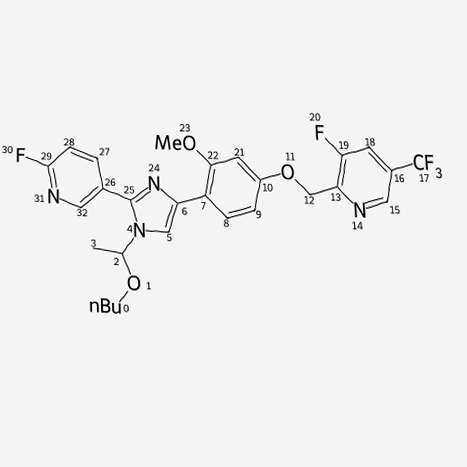 CCCCOC(C)n1cc(-c2ccc(OCc3ncc(C(F)(F)F)cc3F)cc2OC)nc1-c1ccc(F)nc1